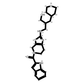 O=C(c1cc2ccccc2[nH]1)N1CCc2nc(NCC(CO)CC3CCOCC3)sc2C1